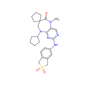 CN1C(=O)C2(CCCC2)CN(C2CCCC2)c2nc(Nc3ccc4c(c3)CS(=O)(=O)C4)ncc21